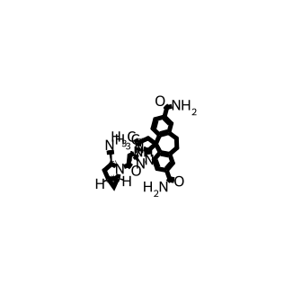 C[C@H](CC1(c2nnnn2C)c2ccc(C(N)=O)cc2CCc2cc(C(N)=O)ccc21)NCC(=O)N1[C@H](C#N)C[C@@H]2C[C@@H]21